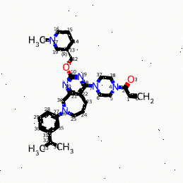 C=CC(=O)N1CCN(c2nc(OC[C@@H]3CCCN(C)C3)nc3c2CCCN(c2cccc(C(C)C)c2)C3)CC1